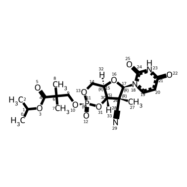 CC(C)OC(=O)C(C)(C)CO[P@]1(=O)OC[C@H]2O[C@@H](n3ccc(=O)[nH]c3=O)[C@](C)(C#N)[C@@H]2O1